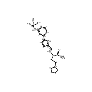 NC(=S)N(CCN1CCCC1)N=Cc1ccc(-c2cccc(OC(F)(F)F)c2)o1